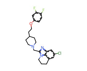 Fc1ccc(OCCC2CCN(Cc3nc4cc(Cl)cc5c4n3CCC5)CC2)cc1F